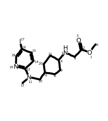 COC(=O)CNC1CCC(CN(C)c2ccc(I)cn2)CC1